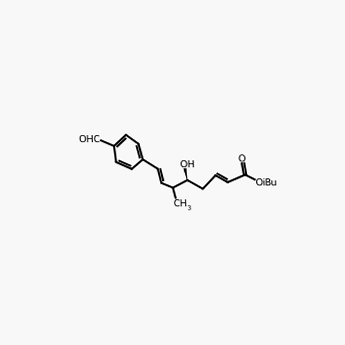 CC(C)COC(=O)/C=C/C[C@H](O)C(C)/C=C/c1ccc(C=O)cc1